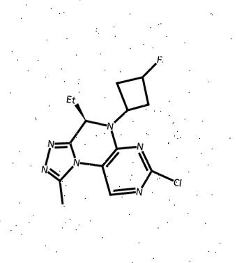 CC[C@@H]1c2nnc(C)n2-c2cnc(Cl)nc2N1C1CC(F)C1